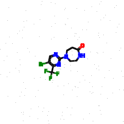 O=C1CCN(c2ncc(Br)c(C(F)(F)F)n2)CCN1